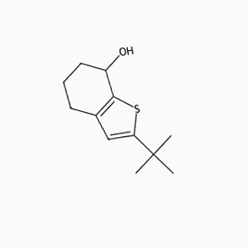 CC(C)(C)c1cc2c(s1)C(O)CCC2